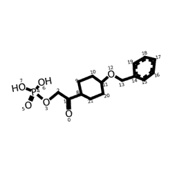 O=C(COP(=O)(O)O)C1CCC(OCc2ccccc2)CC1